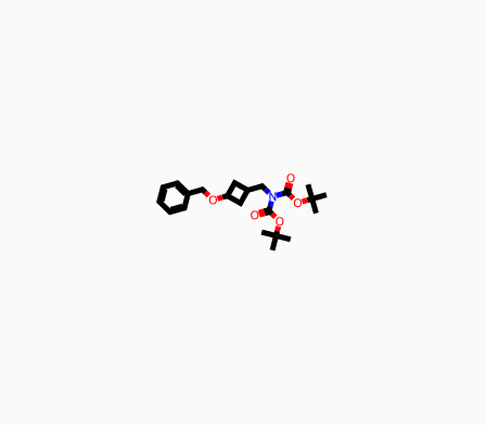 CC(C)(C)OC(=O)N(CC1CC(OCc2ccccc2)C1)C(=O)OC(C)(C)C